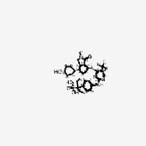 CCC(CC)(c1ccc(Nc2ncc(C(F)(F)F)c(Nc3ccc([C@H]4CC[C@H](O)CC4)c4c3C(=O)N(C)C4)n2)cc1)P(=O)(O)O